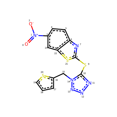 O=[N+]([O-])c1ccc2nc(Sc3nnnn3Cc3cccs3)sc2c1